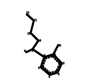 [CH2]c1ccccc1C(C)CCCC